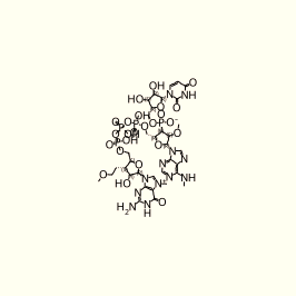 CNc1ncnc2c1ncn2[C@@H]1O[C@H](COP(=O)(O)OP(=O)(O)OP(=O)(O)OC[C@H]2O[C@@H](n3c[n+](C)c4c(=O)[nH]c(N)nc43)[C@H](O)[C@@H]2CCOC)[C@@H](P(=O)([O-])OC[C@H]2O[C@@H](n3ccc(=O)[nH]c3=O)[C@H](O)[C@@H]2O)[C@H]1OC